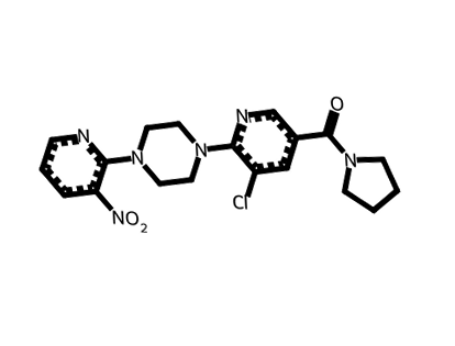 O=C(c1cnc(N2CCN(c3ncccc3[N+](=O)[O-])CC2)c(Cl)c1)N1CCCC1